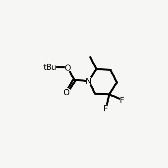 CC1CCC(F)(F)CN1C(=O)OC(C)(C)C